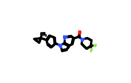 CC1(c2ccc(-n3ccc4cc(C(=O)N5CCC(F)(F)CC5)cnc43)cc2)CC1